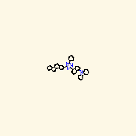 c1ccc(-c2nc(-c3ccc4c(ccc5c6ccccc6ccc45)c3)nc(-c3cccc4c(-n5c6ccccc6c6ccccc65)cccc34)n2)cc1